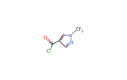 O=C(Cl)c1cnn(C(F)(F)F)c1